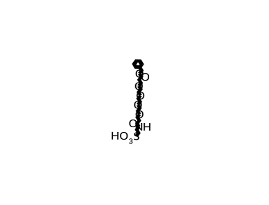 O=C(CCOCCOCCOCCOCCC(=O)OCc1ccccc1)NCCS(=O)(=O)O